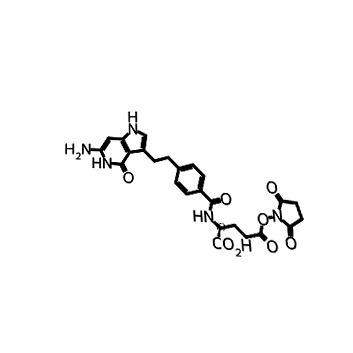 Nc1cc2[nH]cc(CCc3ccc(C(=O)N[C@@H](CCC(=O)ON4C(=O)CCC4=O)C(=O)O)cc3)c2c(=O)[nH]1